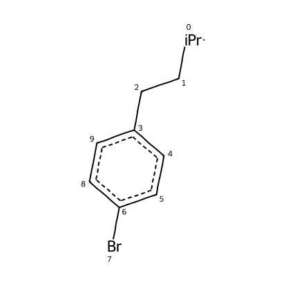 C[C](C)CCc1ccc(Br)cc1